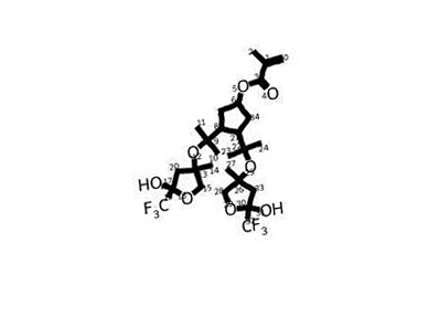 C=C(C)C(=O)OC1CC(C(C)(C)OC2(C)COC(O)(C(F)(F)F)C2)C(C(C)(C)OC2(C)COC(O)(C(F)(F)F)C2)C1